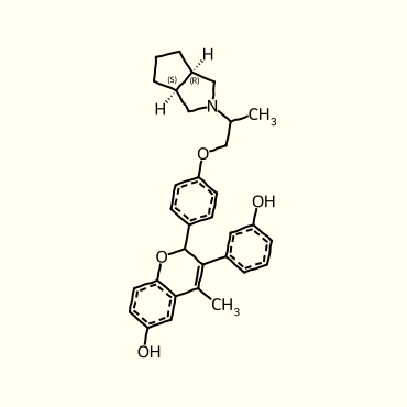 CC1=C(c2cccc(O)c2)C(c2ccc(OCC(C)N3C[C@H]4CCC[C@H]4C3)cc2)Oc2ccc(O)cc21